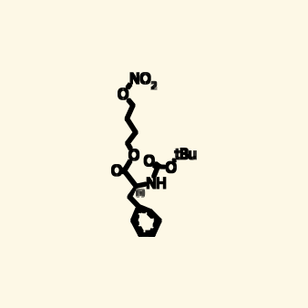 CC(C)(C)OC(=O)N[C@@H](Cc1ccccc1)C(=O)OCCCCO[N+](=O)[O-]